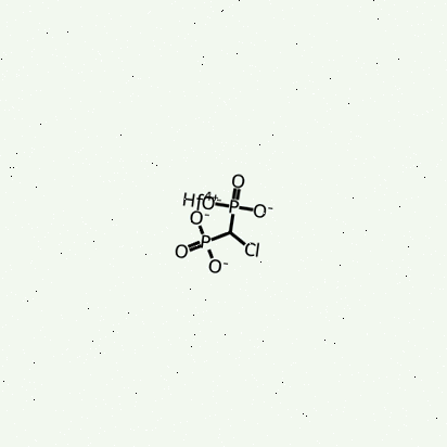 O=P([O-])([O-])C(Cl)P(=O)([O-])[O-].[Hf+4]